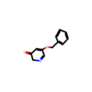 O=C1C=C(OCc2ccccc2)C=NC1